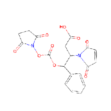 O=C(O)CC(C(OC(=O)ON1C(=O)CCC1=O)c1ccccc1)N1C(=O)C=CC1=O